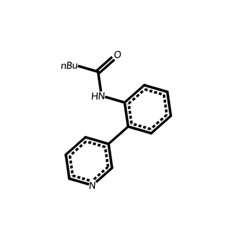 CCCCC(=O)Nc1ccccc1-c1cccnc1